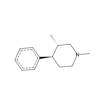 C[C@@H]1CN(C)CC[C@H]1c1ccccc1